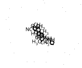 CC1(C)C[C@H]2[C@H](CC[C@]3(C)[C@@H]2C(=O)C=C2[C@@]4(C)C=C(C#N)C(=O)C(C)(C)[C@@H]4CC[C@]23C)[C@H](NC(=O)Nc2ccccc2)C1